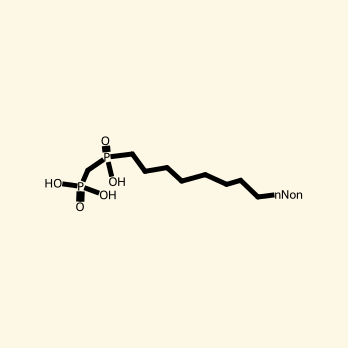 CCCCCCCCCCCCCCCCCP(=O)(O)CP(=O)(O)O